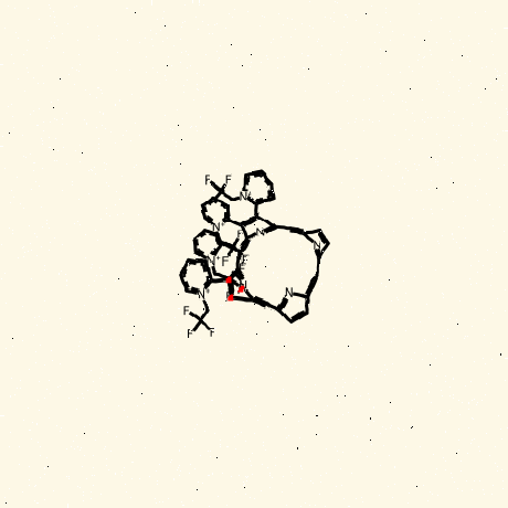 FC(F)(F)C[n+]1ccccc1C1=CC2=CC3=NC(=CC4=NC(=CC5=NC(=C(c6cccc[n+]6CC(F)(F)F)C1=N2)C(c1cccc[n+]1CC(F)(F)F)=C5c1cccc[n+]1CC(F)(F)F)C=C4)C=C3